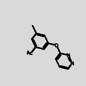 CC(=O)c1cc(C)cc(Oc2cccnn2)c1